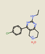 CCNc1nc2c(c(-c3ccc(Cl)cc3)n1)CNCC2.O